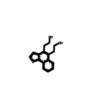 OCCc1c(CCO)c2ccsc2c2ccccc12